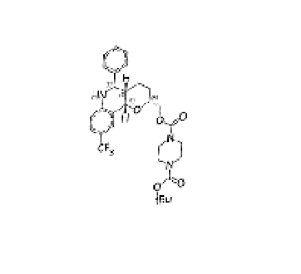 CC(C)(C)OC(=O)N1CCN(C(=O)OC[C@H]2CC[C@@H]3[C@H](O2)c2cc(C(F)(F)F)ccc2N[C@H]3c2ccccc2)CC1